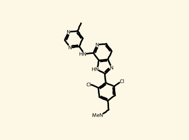 CNCc1cc(Cl)c(-c2nc3ccnc(Nc4cc(C)ncn4)c3[nH]2)c(Cl)c1